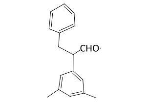 Cc1cc(C)cc(C([C]=O)Cc2ccccc2)c1